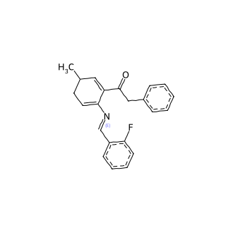 CC1C=C(C(=O)Cc2ccccc2)C(/N=C/c2ccccc2F)=CC1